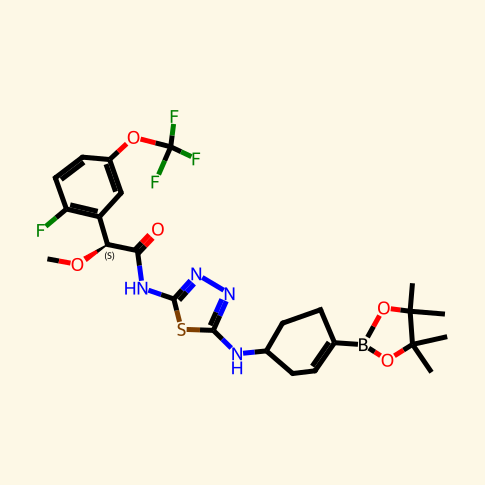 CO[C@H](C(=O)Nc1nnc(NC2CC=C(B3OC(C)(C)C(C)(C)O3)CC2)s1)c1cc(OC(F)(F)F)ccc1F